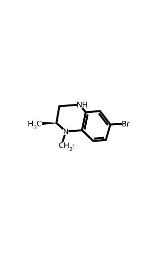 [CH2]N1c2ccc(Br)cc2NC[C@@H]1C